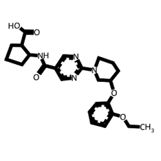 CCOc1ccccc1OC1CCCN(c2ncc(C(=O)NC3CCCC3C(=O)O)cn2)C1